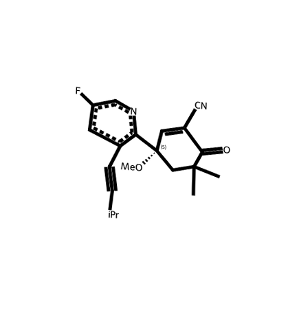 CO[C@]1(c2ncc(F)cc2C#CC(C)C)C=C(C#N)C(=O)C(C)(C)C1